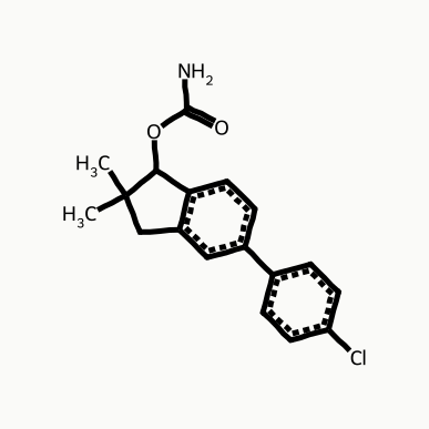 CC1(C)Cc2cc(-c3ccc(Cl)cc3)ccc2C1OC(N)=O